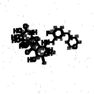 B/C(NCc1cc(CN2CCOCC2)ccc1F)=C1/CN(C2(O)C(=O)NC(=O)C(O)(O)C2(O)O)C(=O)/C1=C(\O)C(=C)O